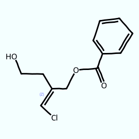 O=C(OC/C(=C\Cl)CCO)c1ccccc1